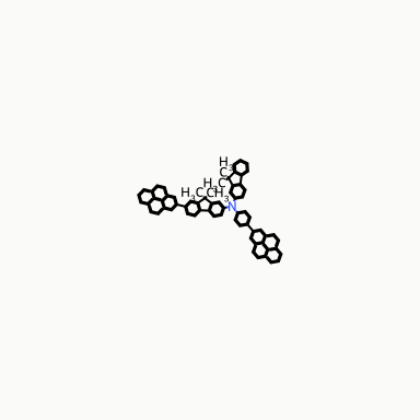 CC1(C)c2ccccc2-c2ccc(N(c3ccc(-c4cc5ccc6cccc7ccc(c4)c5c67)cc3)c3ccc4c(c3)C(C)(C)c3cc(-c5cc6ccc7cccc8ccc(c5)c6c78)ccc3-4)cc21